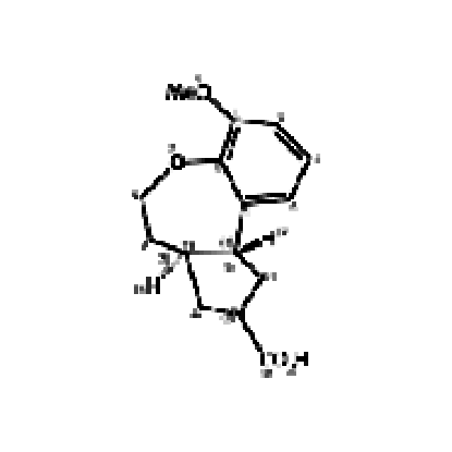 COc1cccc2c1OCC[C@@H]1CN(C(=O)O)C[C@@H]21